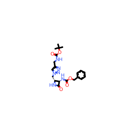 CC(C)(C)OC(=O)NCc1cn(C[C@H]2NC(=O)[C@H]2NC(=O)OCc2ccccc2)nn1